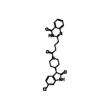 O=C1Nc2cc(Cl)ccc2[C@H]1C1CCN(C(=O)CCCc2nc3ccccc3c(=O)[nH]2)CC1